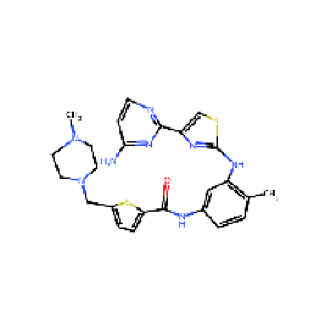 Cc1ccc(NC(=O)c2ccc(CN3CCN(C)CC3)s2)cc1Nc1nc(-c2nccc(N)n2)cs1